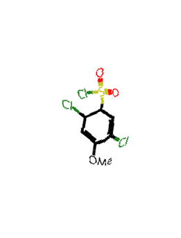 COC1=CC(Cl)C(S(=O)(=O)Cl)C=C1Cl